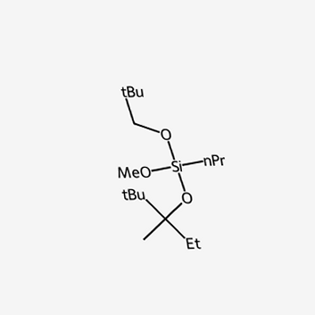 CCC[Si](OC)(OCC(C)(C)C)OC(C)(CC)C(C)(C)C